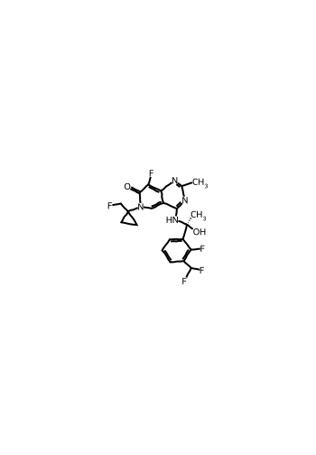 Cc1nc(N[C@@](C)(O)c2cccc(C(F)F)c2F)c2cn(C3(CF)CC3)c(=O)c(F)c2n1